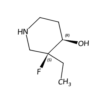 CC[C@]1(F)CNCC[C@H]1O